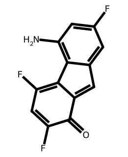 Nc1cc(F)cc2c1C1=C(F)C=C(F)C(=O)C1=C2